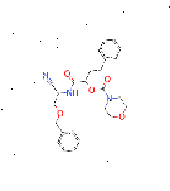 N#CC(COCc1ccccc1)NC(=O)C(CCc1ccccc1)OC(=O)N1CCOCC1